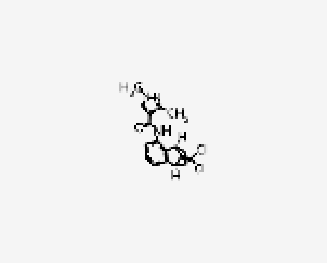 Cc1nn(C)cc1C(=O)Nc1cccc2c1[C@H]1CC[C@@H]2C1=C(Cl)Cl